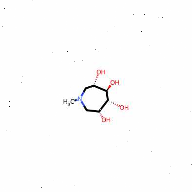 CN1C[C@@H](O)[C@@H](O)[C@H](O)[C@@H](O)C1